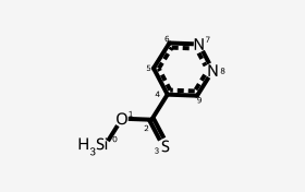 [SiH3]OC(=S)c1ccnnc1